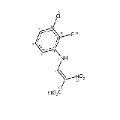 CCOC(=O)C(=CNc1cccc(Cl)c1F)[N+](=O)[O-]